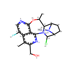 Cc1c(CO)nc2c3c(ncc(F)c13)OC(C)C1C3CCC(C(Cl)N21)N3C(=O)O